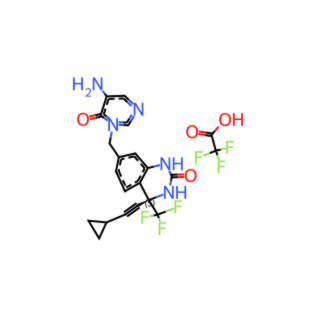 Nc1cncn(Cc2ccc3c(c2)NC(=O)N[C@]3(C#CC2CC2)C(F)(F)F)c1=O.O=C(O)C(F)(F)F